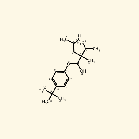 CC(C)CC(C)(C(C)C)C(O)Oc1ccc(C(C)(C)C)cc1